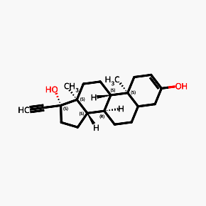 C#C[C@]1(O)CC[C@H]2[C@@H]3CCC4CC(O)=CC[C@]4(C)[C@H]3CC[C@@]21C